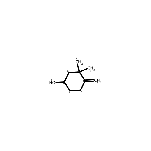 C=C1CCC(O)CC1(C)C